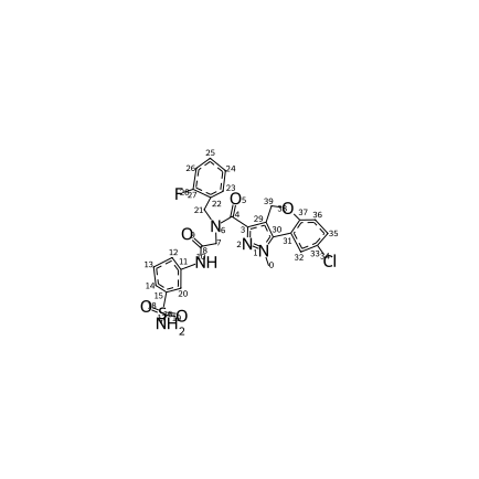 Cn1nc(C(=O)N(CC(=O)Nc2cccc(S(N)(=O)=O)c2)Cc2ccccc2F)c2c1-c1cc(Cl)ccc1OC2